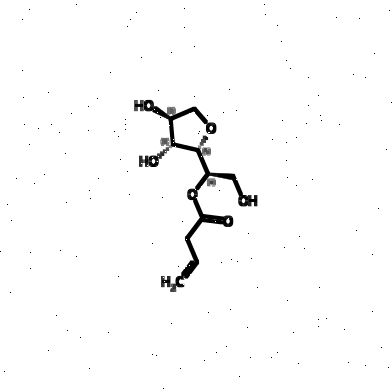 C=CCC(=O)O[C@H](CO)[C@H]1OC[C@H](O)[C@H]1O